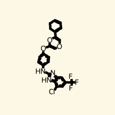 FC(F)(F)c1cc(Cl)c2[nH]c(Nc3ccc(OC4=COC=C(C5=CC=CCC5)O4)cc3)nc2c1